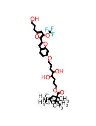 CC(C)(C)CC(C)(C(=O)OCCCC(O)C(O)CCCOc1ccc2cc(-c3oc(CCCO)cc3OC(F)(F)F)oc2c1)C(C)(C)C